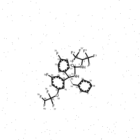 O=C(NC(C(F)(F)F)C(F)(F)F)N[C@](Cc1ccccc1)(c1ccc(F)cc1)c1cc(F)cc(OC(F)(F)C(F)F)c1